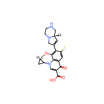 COc1c(C2=C[C@H]3CNCCN3C2)c(F)cc2c(=O)c(C(=O)O)cn(C3CC3)c12